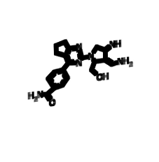 N=C1CN(c2nc3c(c(-c4ccc(C(N)=O)cc4)n2)CCC3)C(CO)/C1=C/N